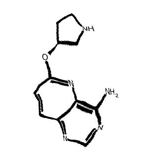 Nc1ncnc2ccc(O[C@H]3CCNC3)nc12